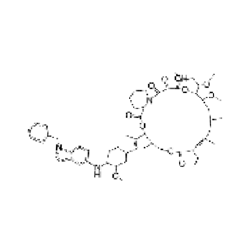 CCC1/C=C(\C)CC(C)CC(OC)C2OC(O)(C(=O)C(=O)N3CCCCC3C(=O)OC(C(C)=CC3CCC(Nc4ccc5c(ccn5Cc5ccccc5)c4)C(OC)C3)C(C)CCC1=O)C(C)CC2OC